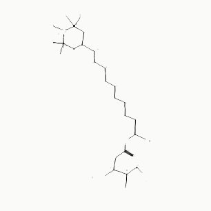 CCCC(CCCCCCCCCC1CC(C)(C)N(C)C(C)(C)C1)OC(=O)CC(C(=O)O)C(CC(=O)O)C(=O)O